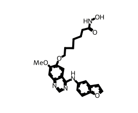 COc1cc2ncnc(Nc3ccc4occc4c3)c2cc1OCCCCCCC(=O)NO